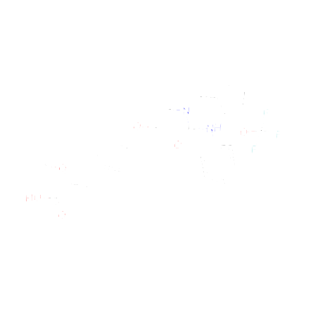 CCOC(Cc1ccc(OCCN(CC2CCCC2)C(=O)Nc2ccccc2OC(F)(F)F)cc1)C(=O)O